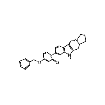 Cn1c2c(c3ccc(-n4ccc(OCc5ccccc5)cc4=O)cc31)CN1CCCC1C2